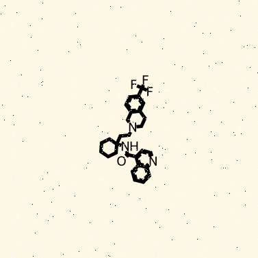 O=C(NC1(CCN2CCc3cc(C(F)(F)F)ccc3C2)CCCCC1)c1ccnc2ccccc12